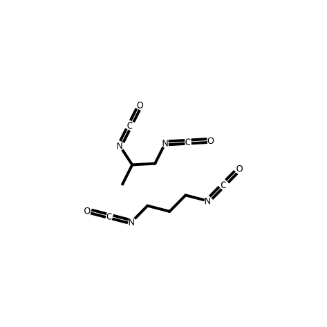 CC(CN=C=O)N=C=O.O=C=NCCCN=C=O